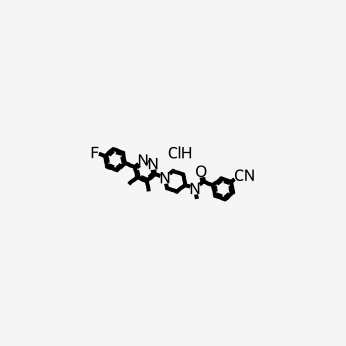 Cc1c(-c2ccc(F)cc2)nnc(N2CCC(N(C)C(=O)c3cccc(C#N)c3)CC2)c1C.Cl